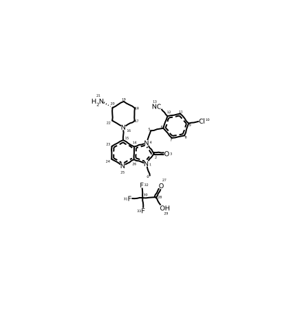 Cn1c(=O)n(Cc2ccc(Cl)cc2C#N)c2c(N3CCC[C@@H](N)C3)ccnc21.O=C(O)C(F)(F)F